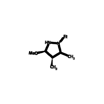 CCN1N[C@H](OC)[C@@H](C)C1C